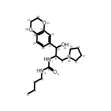 CCCCNC(=O)NC(CN1CCCC1)C(O)c1ccc2c(c1)OCCO2